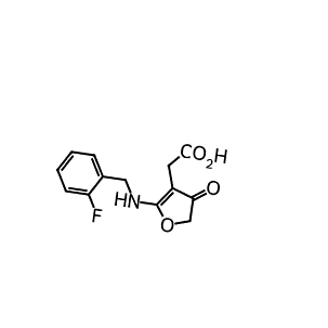 O=C(O)CC1=C(NCc2ccccc2F)OCC1=O